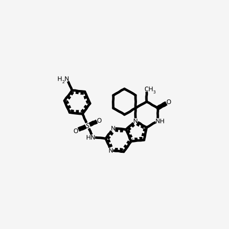 CC1C(=O)Nc2cc3cnc(NS(=O)(=O)c4ccc(N)cc4)nc3n2C12CCCCC2